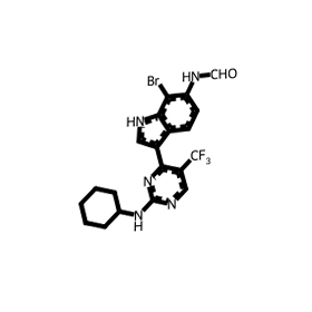 O=CNc1ccc2c(-c3nc(NC4CCCCC4)ncc3C(F)(F)F)c[nH]c2c1Br